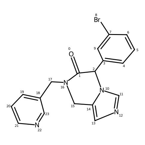 O=C1C(c2cccc(Br)c2)n2cncc2CN1Cc1cccnc1